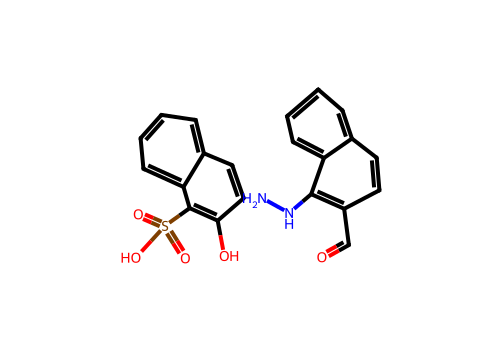 NNc1c(C=O)ccc2ccccc12.O=S(=O)(O)c1c(O)ccc2ccccc12